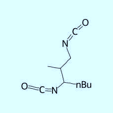 CCCCC(N=C=O)C(C)CN=C=O